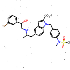 CC(Cc1ccc2c(c1)cc(C(=O)O)n2Cc1ccc(N(C)S(=O)(=O)C(F)(F)F)cc1)NCC(O)c1cccc(Br)c1